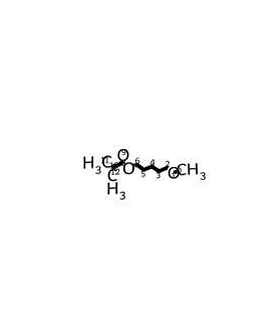 COCCCCCOC(=O)C(C)C